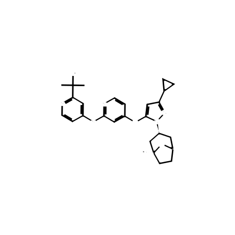 CC(C)(O)c1cc(Nc2cc(Oc3cc(C4CC4)nn3[C@H]3CC4CC[C@@H](C3)O4)ccn2)ccn1